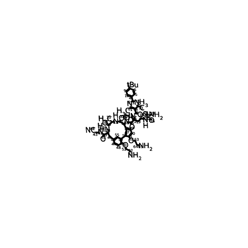 Cc1nc(-c2ccc(C(C)(C)C)cc2)nc(C)c1C(=O)NC(CCNS(N)(=O)=O)C(=O)N(C)C1C(=O)NC(C)C(=O)NC(C(=O)NCC#N)Cc2ccc(OCCN)c(c2)-c2cc1ccc2OCCN